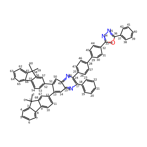 CC1(C)c2ccccc2-c2ccc(-c3cc4nc(-c5ccccc5)c(-c5ccc(-c6ccc(-c7nnc(-c8ccccc8)o7)cc6)cc5)nc4cc3-c3ccc4c(c3)C(C)(C)c3ccccc3-4)cc21